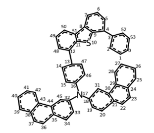 c1ccc(-c2cccc3c2sc2c(-c4ccc(N(c5ccc6ccc7ccccc7c6c5)c5ccc6ccc7ccccc7c6c5)cc4)cccc23)cc1